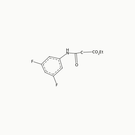 CCOC(=O)CC(=O)Nc1cc(F)cc(F)c1